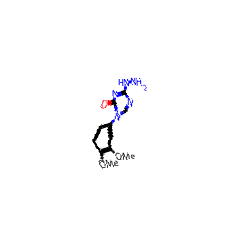 COc1ccc(-n2cnc(NN)nc2=O)cc1OC